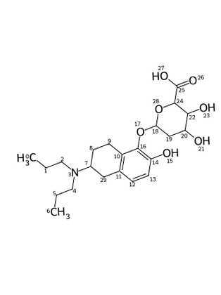 CCCN(CCC)C1CCc2c(ccc(O)c2OC2CC(O)C(O)C(C(=O)O)O2)C1